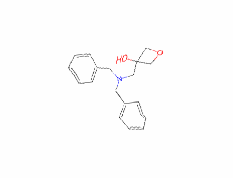 OC1(CN(Cc2ccccc2)Cc2ccccc2)COC1